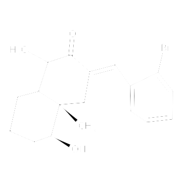 CC1C(=O)/C(=C/c2ccccc2Br)C[C@@]2(C)C1CCC[C@@H]2O